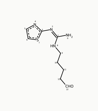 NC(=Nc1nccs1)NCCC[CH]C=O